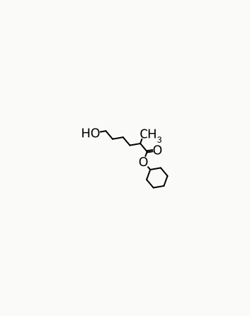 CC(CCCCO)C(=O)OC1CCCCC1